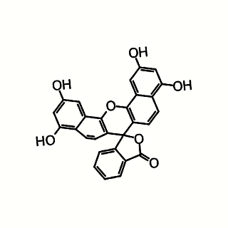 O=C1OC2(c3ccccc31)c1ccc3c(O)cc(O)cc3c1Oc1c2ccc2c(O)cc(O)cc12